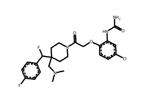 CN(C)CC1(C(F)c2ccc(F)cc2)CCN(C(=O)COc2ccc(Cl)cc2NC(N)=O)CC1